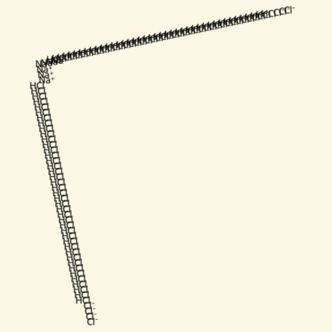 Cl.Cl.Cl.Cl.Cl.Cl.Cl.Cl.Cl.Cl.Cl.Cl.Cl.Cl.Cl.Cl.Cl.Cl.Cl.Cl.Cl.Cl.Cl.Cl.Cl.Cl.Cl.Cl.Cl.Cl.Cl.Cl.Cl.Cl.Cl.Cl.Cl.Cl.Cl.Cl.Cl.Cl.Cl.Cl.Cl.Cl.Cl.Cl.Cl.Cl.Cl.Cl.Cl.Cl.Cl.Cl.Cl.Cl.Cl.Cl.Cl.Cl.Cl.Cl.Cl.Cl.Cl.Cl.Cl.Cl.Cl.Cl.Cl.Cl.Cl.Cl.Cl.Cl.Cl.Cl.Cl.Cl.[Cl-].[Cl-].[Cl-].[Cl-].[Cl-].[Cl-].[Cl-].[Na+].[Na+].[Na+].[Na+].[Na+].[Na+].[Na+]